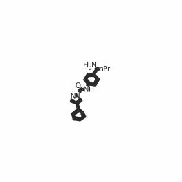 CCCC(N)c1ccc(NC(=O)n2cc(-c3ccccc3)cn2)cc1